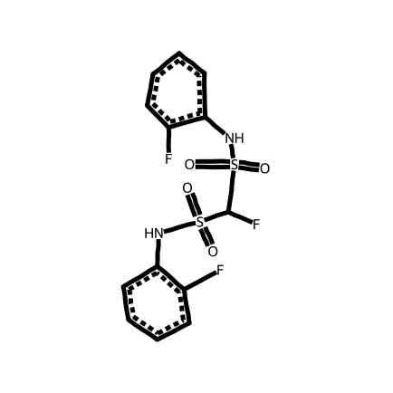 O=S(=O)(Nc1ccccc1F)C(F)S(=O)(=O)Nc1ccccc1F